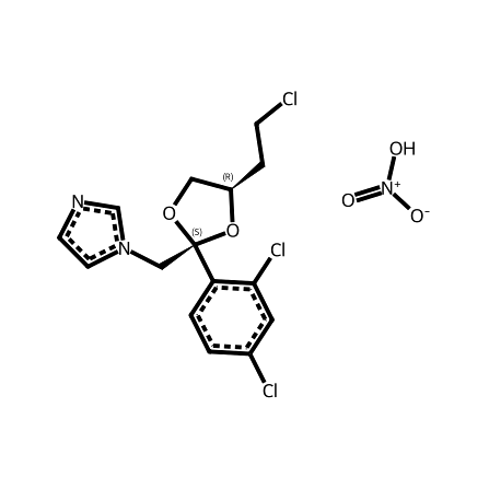 ClCC[C@@H]1CO[C@@](Cn2ccnc2)(c2ccc(Cl)cc2Cl)O1.O=[N+]([O-])O